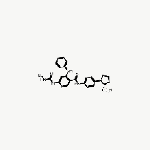 CCNC(=O)Nc1cc(Nc2ccccc2)c(C(=O)Nc2ccc(N3CCC[C@H]3C(=O)O)cc2)cn1